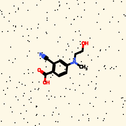 CN(CCO)c1ccc(C(=O)O)c(C#N)c1